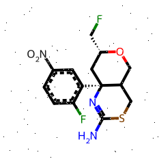 NC1=N[C@@]2(c3cc([N+](=O)[O-])ccc3F)C[C@H](CF)OCC2CS1